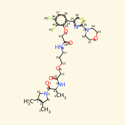 CC1=C(C)CN(C(=O)[C@H](C)NC(=O)COCCCNC(=O)COc2c(-c3csc(N4CCOCC4)n3)ccc(F)c2F)C1